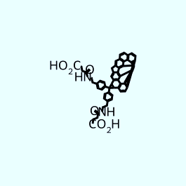 O=C(O)CCC(=O)NCCc1ccc(C2(c3ccc(CCNC(=O)CCC(=O)O)cc3)C3c4ccc5c6ccc7ccc8cc9c%10c%11c(cc(c%12c4c5c(c%12%11)c4c6c7c8c%104)C32)C9)cc1